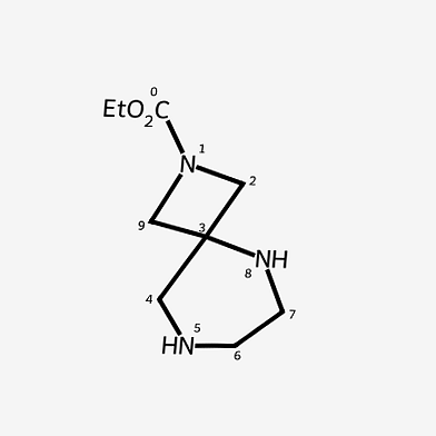 CCOC(=O)N1CC2(CNCCN2)C1